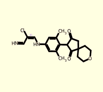 Cc1cc(N/C=C(/Cl)C=N)cc(C)c1C1C(=O)CC2(CCOCC2)C1=O